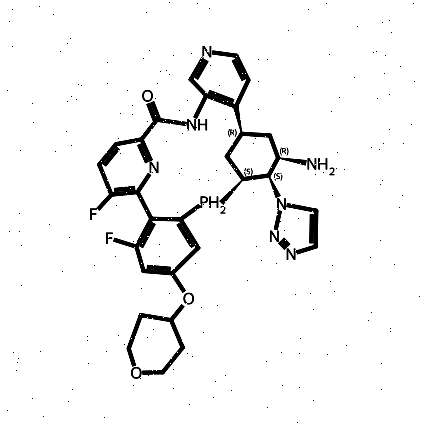 C[C@H]1C[C@@H](c2ccncc2NC(=O)c2ccc(F)c(-c3c(F)cc(OC4CCOCC4)cc3P)n2)C[C@@H](N)[C@H]1n1ccnn1